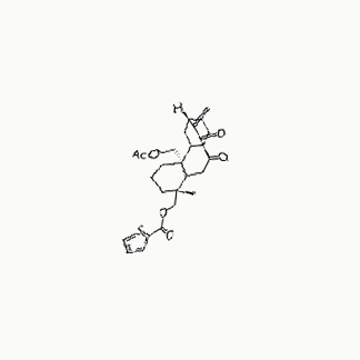 C=C1C(=O)[C@]23CC[C@H]1CC2[C@]1(COC(C)=O)CCC[C@@](C)(COC(=O)c2cccs2)C1CC3=O